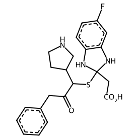 O=C(O)CC1(SC(C(=O)Cc2ccccc2)C2CCNC2)Nc2ccc(F)cc2N1